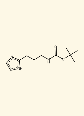 CC(C)(C)OC(=O)NCCCc1ncc[nH]1